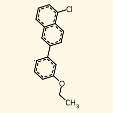 CCOc1cc[c]c(-c2ccc3c(Cl)cccc3c2)c1